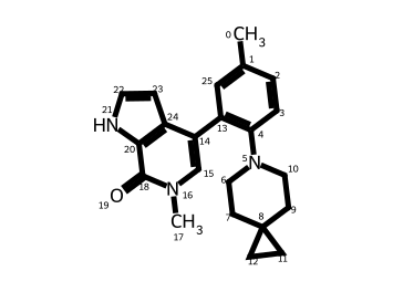 Cc1ccc(N2CCC3(CC2)CC3)c(-c2cn(C)c(=O)c3[nH]ccc23)c1